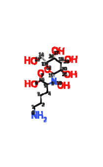 NCCCC[C@@H](C(=O)O)N(O)[C@@H]1O[C@H](CO)[C@H](O)[C@H](O)[C@H]1O